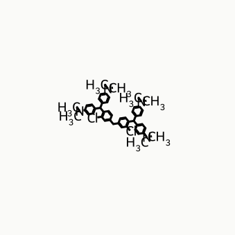 CN(C)c1ccc(C(c2ccc(N(C)C)cc2)c2ccc(Cc3ccc(C(c4ccc(N(C)C)cc4)c4ccc(N(C)C)cc4)c(Cl)c3)cc2Cl)cc1